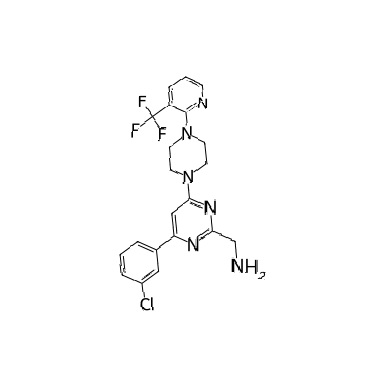 NCc1nc(-c2cccc(Cl)c2)cc(N2CCN(c3ncccc3C(F)(F)F)CC2)n1